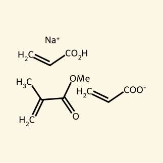 C=C(C)C(=O)OC.C=CC(=O)O.C=CC(=O)[O-].[Na+]